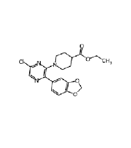 CCOC(=O)C1CCN(c2nc(Cl)cnc2-c2ccc3c(c2)OCO3)CC1